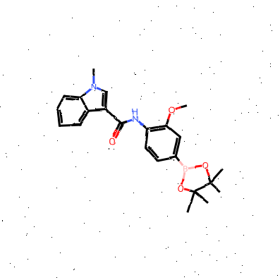 COc1cc(B2OC(C)(C)C(C)(C)O2)ccc1NC(=O)c1cn(C)c2ccccc12